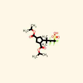 CC(C)OC(=O)C1CC(C(=O)OC(C)C)C(C(C)(C)C(F)(F)C(F)(F)S(=O)(=O)O)C1